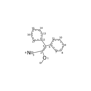 COC(C#N)=C(c1ccccc1)c1ccccc1